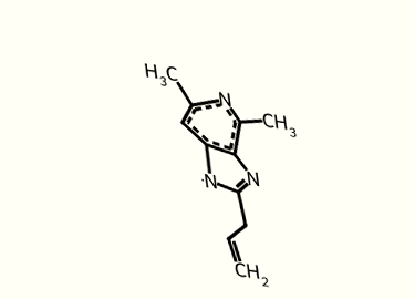 C=CCC1=Nc2c(cc(C)nc2C)[N]1